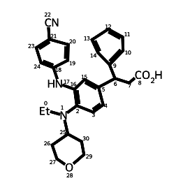 CCN(c1ccc(C(CC(=O)O)c2ccccc2)cc1Nc1ccc(C#N)cc1)C1CCOCC1